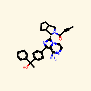 CC#CC(=O)N1CC2CCCC2[C@H]1c1nc(-c2ccc(C(C)(O)c3ccccc3)cc2)c2c(N)nccn12